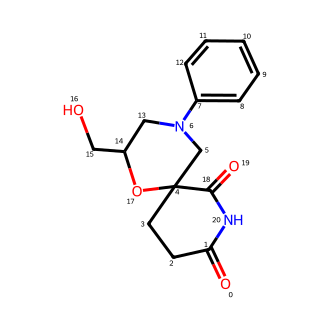 O=C1CCC2(CN(c3ccccc3)CC(CO)O2)C(=O)N1